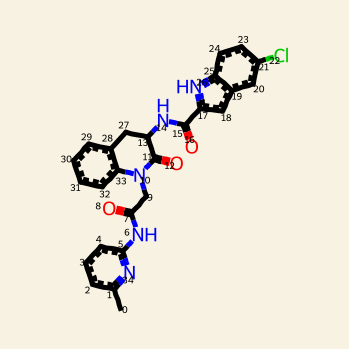 Cc1cccc(NC(=O)CN2C(=O)C(NC(=O)c3cc4cc(Cl)ccc4[nH]3)Cc3ccccc32)n1